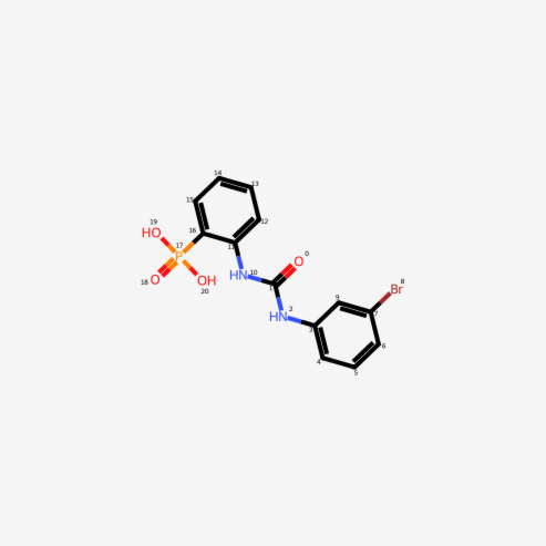 O=C(Nc1cccc(Br)c1)Nc1ccccc1P(=O)(O)O